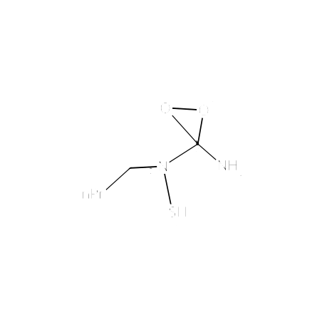 CCCCN(S)C1(N)OO1